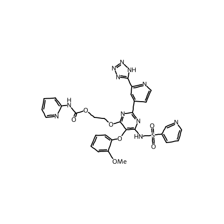 COc1ccccc1Oc1c(NS(=O)(=O)c2cccnc2)nc(-c2ccnc(-c3nnn[nH]3)c2)nc1OCCOC(=O)Nc1ccccn1